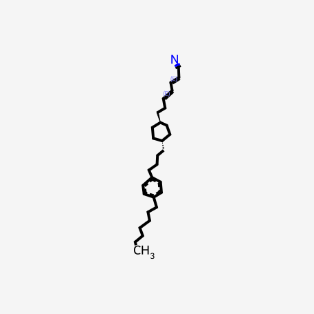 CCCCCCCc1ccc(CCCC[C@H]2CC[C@H](CC/C=C/C=C/C#N)CC2)cc1